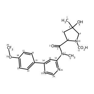 CN(C(=O)C1CC(C)(O)CN1C(=O)O)c1cc(-c2ccc(OC(F)(F)F)cc2)ncn1